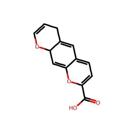 O=C(O)C1=CC=C2C=C3CC=COC3C=C2O1